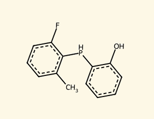 Cc1cccc(F)c1Pc1ccccc1O